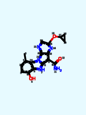 Cc1ccc(O)c2[nH]c3c(C(N)=O)c4nc(OC5CC5)cnc4n3c12